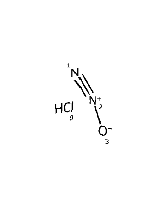 Cl.N#[N+][O-]